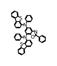 c1ccc(-c2nc3cc(N(c4ccccc4)c4cccc5c4sc4ccccc45)cc(N(c4ccccc4)c4cccc5c4sc4ccccc45)c3o2)cc1